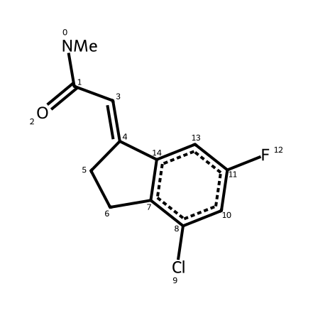 CNC(=O)/C=C1\CCc2c(Cl)cc(F)cc21